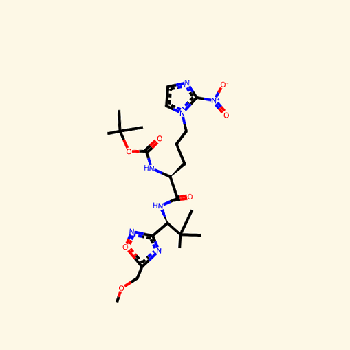 COCc1nc([C@@H](NC(=O)[C@H](CCCn2ccnc2[N+](=O)[O-])NC(=O)OC(C)(C)C)C(C)(C)C)no1